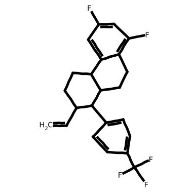 C=CC1CCC2c3cc(F)cc(F)c3CCC2C1c1ccc(C(F)(F)F)cc1